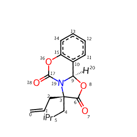 C=CC[C@]1(CC(C)C)C(=O)O[C@@H]2c3ccccc3OC(=O)N21